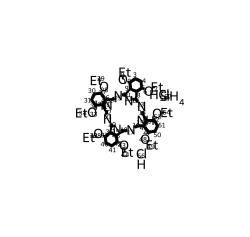 CCOc1ccc(OCC)c2c1-c1nc-2nc2[nH]c(nc3nc(nc4[nH]c(n1)c1c(OCC)ccc(OCC)c41)-c1c(OCC)ccc(OCC)c1-3)c1c(OCC)ccc(OCC)c21.Cl.Cl.[SiH4]